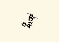 N[C@@H]1C[C@H](O)CC12CCN(c1cnc3c(I)nn(C4CCCCO4)c3n1)CC2